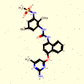 COc1c(NC(=O)Nc2ccc(Oc3cc(C)nc(N)n3)c3ccccc23)cc(C(C)(C)C)cc1NS(C)(=O)=O